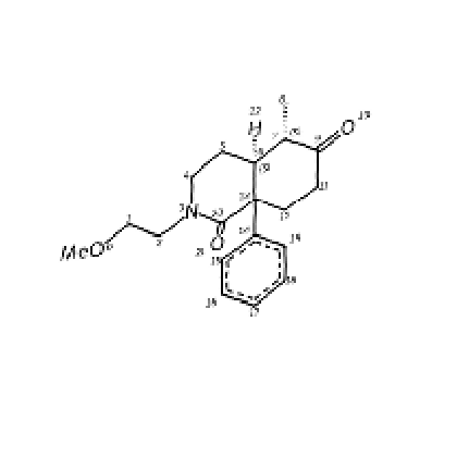 COCCN1CC[C@H]2[C@H](C)C(=O)CCC2(c2ccccc2)C1=O